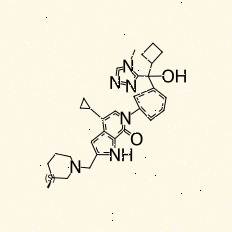 C[C@H]1CCCN(Cc2cc3c(C4CC4)cn(-c4cccc(C(O)(c5nncn5C)C5CCC5)c4)c(=O)c3[nH]2)C1